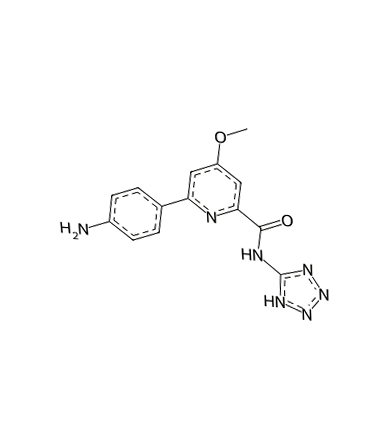 COc1cc(C(=O)Nc2nnn[nH]2)nc(-c2ccc(N)cc2)c1